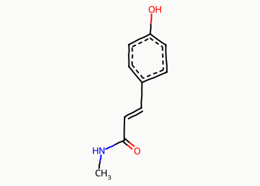 CNC(=O)/C=C/c1ccc(O)cc1